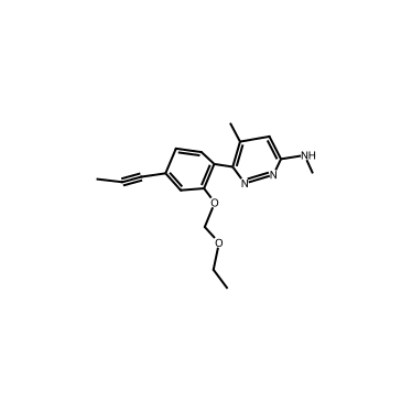 CC#Cc1ccc(-c2nnc(NC)cc2C)c(OCOCC)c1